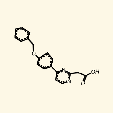 O=C(O)Cc1nccc(-c2ccc(OCc3ccccc3)cc2)n1